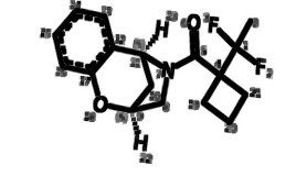 CC(F)(F)C1(C(=O)N2C[C@@H]3C[C@H]2c2ccccc2O3)CCC1